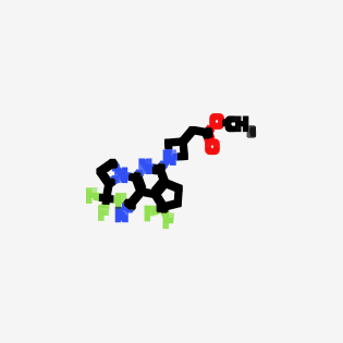 COC(=O)CC1CN(c2nc(N3CCC3C(F)(F)F)c(C#N)c3c2CCC3(F)F)C1